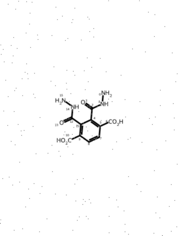 NNC(=O)c1c(C(=O)O)ccc(C(=O)O)c1C(=O)NN